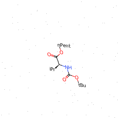 CCCCCOC(=O)[C@@H](NC(=O)OC(C)(C)C)C(C)C